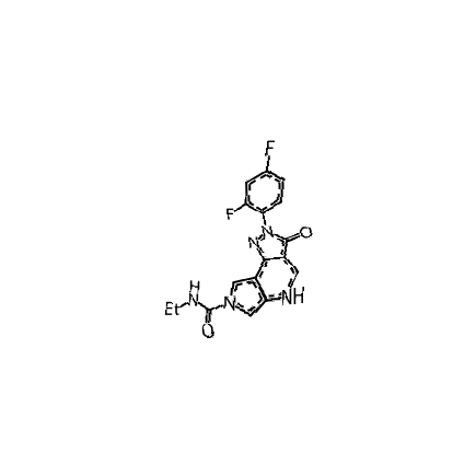 CCNC(=O)n1cc2[nH]cc3c(=O)n(-c4ccc(F)cc4F)nc-3c2c1